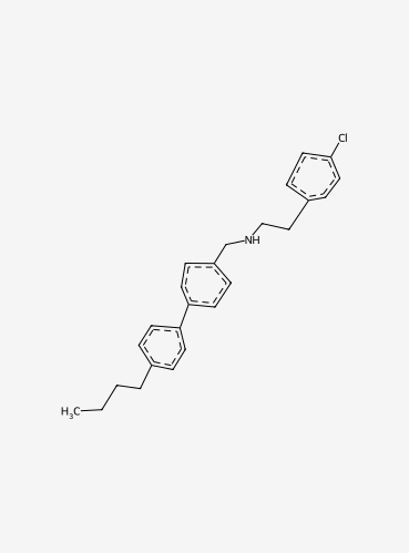 CCCCc1ccc(-c2ccc(CNCCc3ccc(Cl)cc3)cc2)cc1